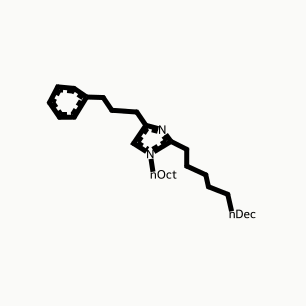 CCCCCCCCCCCCCCCc1nc(CCCc2ccccc2)cn1CCCCCCCC